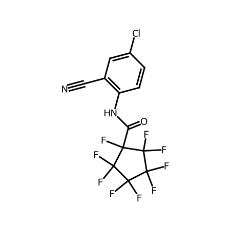 N#Cc1cc(Cl)ccc1NC(=O)C1(F)C(F)(F)C(F)(F)C(F)(F)C1(F)F